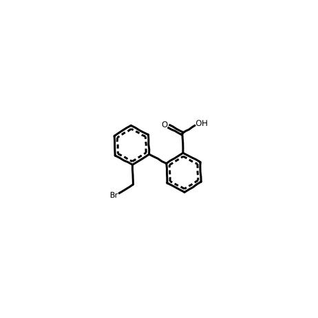 O=C(O)c1ccccc1-c1ccccc1CBr